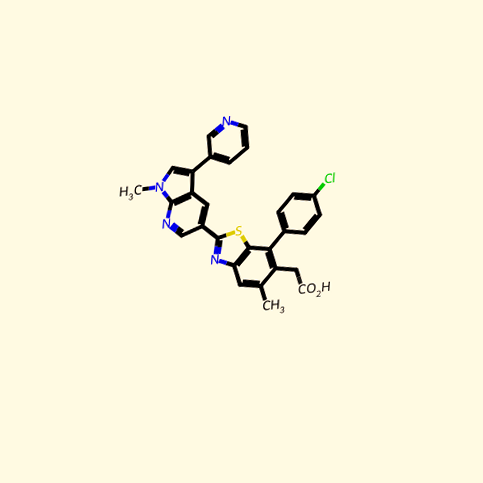 Cc1cc2nc(-c3cnc4c(c3)c(-c3cccnc3)cn4C)sc2c(-c2ccc(Cl)cc2)c1CC(=O)O